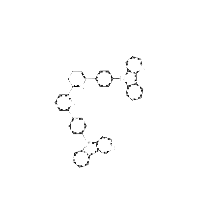 C1=C(c2ccc(-n3c4ccccc4c4ncccc43)cc2)N=C(c2cccc(-c3ccc(-n4c5ccccc5c5cnccc54)cc3)n2)CC1